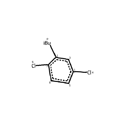 [CH2]C(CC)c1cc(Cl)ccc1Cl